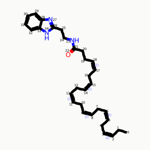 CC/C=C\C/C=C\C/C=C\C/C=C\C/C=C\C/C=C\CCC(=O)NCCc1nc2ccccc2[nH]1